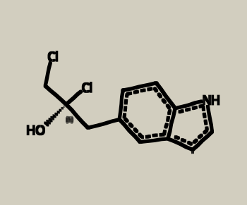 O[C@@](Cl)(CCl)Cc1ccc2[nH]c[c]c2c1